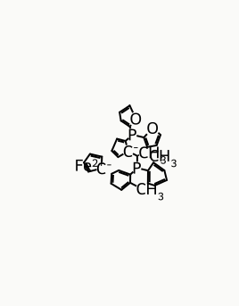 Cc1ccccc1P(c1ccccc1C)[C@@H](C)[c-]1cccc1P(c1ccco1)c1ccco1.[Fe+2].c1cc[cH-]c1